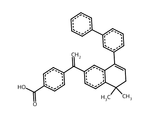 C=C(c1ccc(C(=O)O)cc1)c1ccc2c(c1)C(c1cccc(-c3ccccc3)c1)=CCC2(C)C